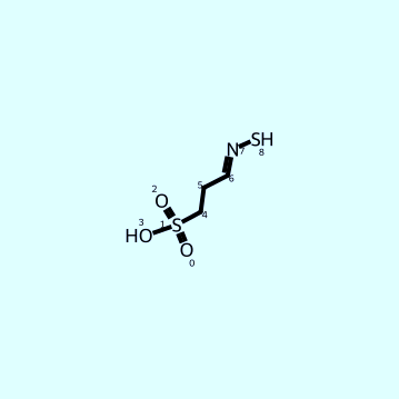 O=S(=O)(O)CCC=NS